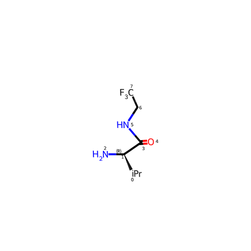 CC(C)[C@@H](N)C(=O)NCC(F)(F)F